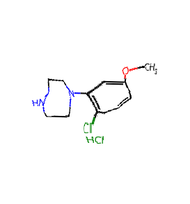 COc1ccc(Cl)c(N2CCNCC2)c1.Cl